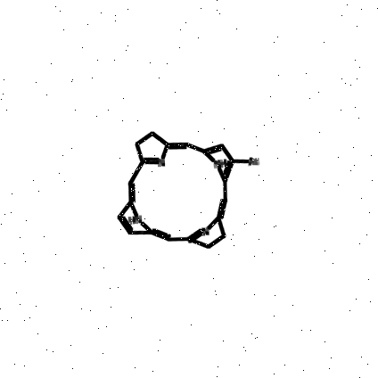 CC(=O)c1cc2cc3nc(cc4ccc(cc5nc(cc1[nH]2)CC5)[nH]4)CC3